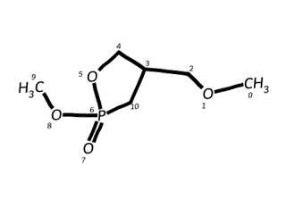 COCC1COP(=O)(OC)C1